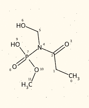 CCC(=O)N(CO)P(=O)(O)OC